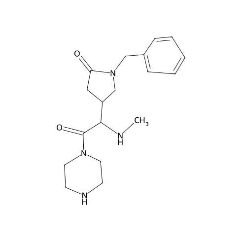 CNC(C(=O)N1CCNCC1)C1CC(=O)N(Cc2ccccc2)C1